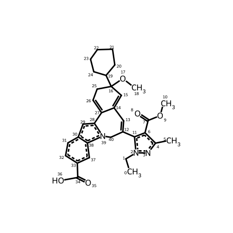 CCn1nc(C)c(C(=O)OC)c1C1=CC2=CC(OC)(C3CCCCC3)CC=C2c2cc3ccc(C(=O)O)cc3n2C1